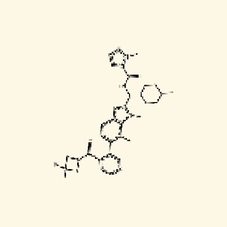 CC1CCC(C(NC(=O)c2ccnn2C)c2nc3ccc(-c4cnccc4C(=O)N4CC(F)(F)C4)c(F)c3n2C)CC1